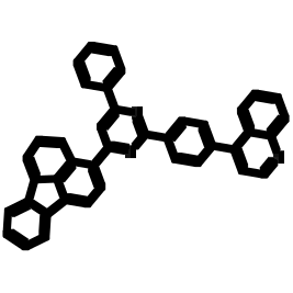 c1ccc(-c2cc(-c3ccc4c5c(cccc35)-c3ccccc3-4)nc(-c3ccc(-c4ccnc5ccccc45)cc3)n2)cc1